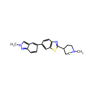 CN1CCC(c2nc3ccc(-c4ccc5nn(C)cc5c4)cc3s2)CC1